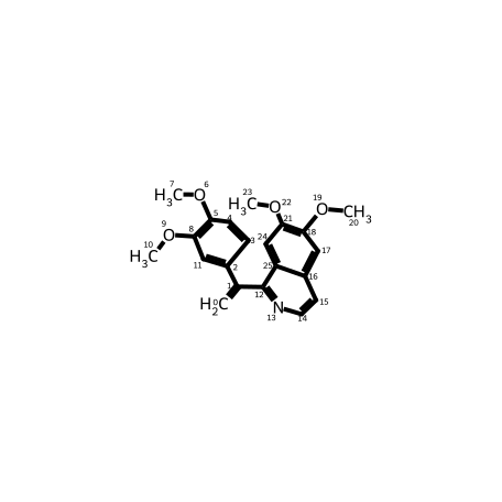 C=C(c1ccc(OC)c(OC)c1)c1nccc2cc(OC)c(OC)cc12